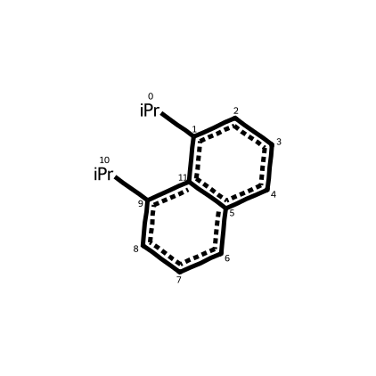 CC(C)c1cccc2cccc(C(C)C)c12